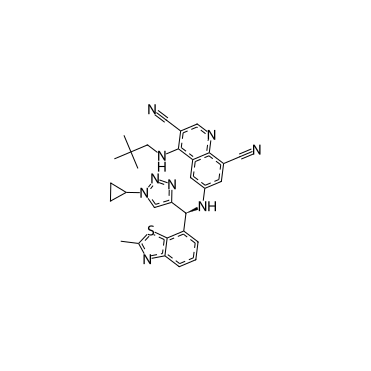 Cc1nc2cccc([C@H](Nc3cc(C#N)c4ncc(C#N)c(NCC(C)(C)C)c4c3)c3cn(C4CC4)nn3)c2s1